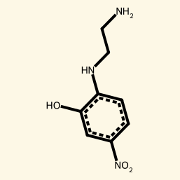 NCCNc1ccc([N+](=O)[O-])cc1O